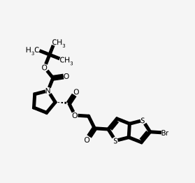 CC(C)(C)OC(=O)N1CCC[C@H]1C(=O)OCC(=O)C1=CC2SC(Br)=CC2S1